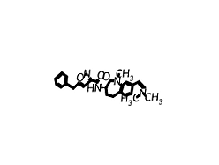 CN(C)/C=C\c1ccc2c(c1)N(C)C(=O)[C@H](NC(=O)c1cc(Cc3ccccc3)on1)CC2